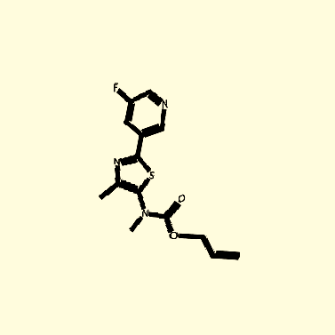 C=CCOC(=O)N(C)c1sc(-c2cncc(F)c2)nc1C